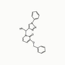 CCCC(c1cn(-c2ccccc2)nn1)n1cccc(OCc2ccccc2)c1=O